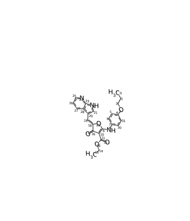 CCCOc1ccc(NC2=C(C(=O)OCC)C(=O)C(=Cc3c[nH]c4ncccc34)O2)cc1